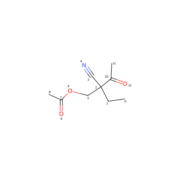 CCC(C#N)(COC(C)=O)C(C)=O